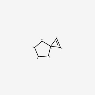 C1=CC12CCCC2